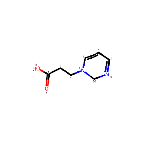 O=C(O)CCN1C=CC=NC1